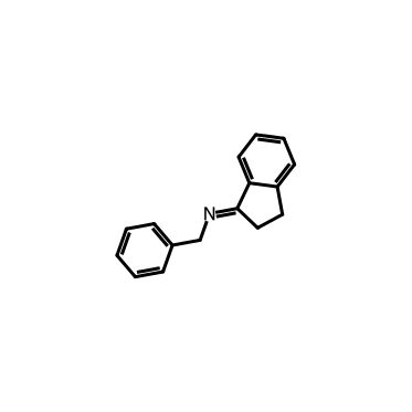 c1ccc(CN=C2CCc3ccccc32)cc1